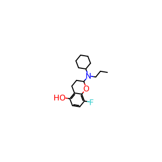 CCCN(C1CCCCC1)C1CCc2c(O)ccc(F)c2O1